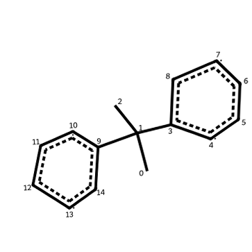 CC(C)(c1[c]cc[c]c1)c1[c]cc[c]c1